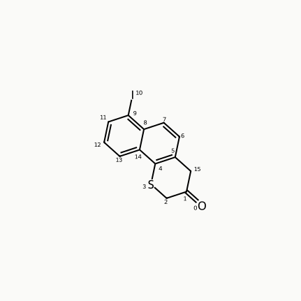 O=C1CSc2c(ccc3c(I)cccc23)C1